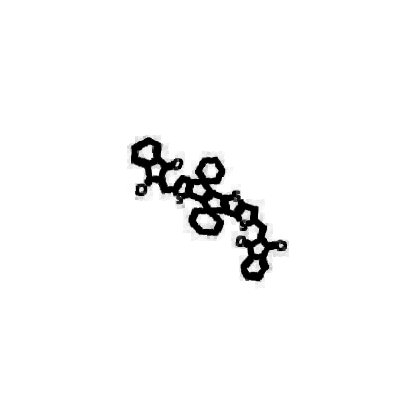 O=C1C(=Cc2cc3c(s2)C2=C(c4sc5cc(C=C6C(=O)c7ccccc7C6=O)sc5c4C24CCCCC4)C32CCCCC2)C(=O)c2ccccc21